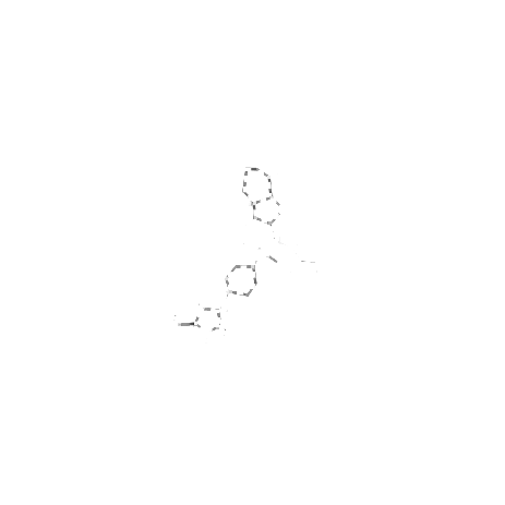 Cc1c(N(CCC(F)(F)F)S(=O)(=O)c2ccc(-c3noc(=O)[nH]3)cc2)sc2ccccc12